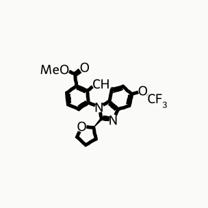 COC(=O)c1cccc(-n2c([C@H]3CCCO3)nc3cc(OC(F)(F)F)ccc32)c1C